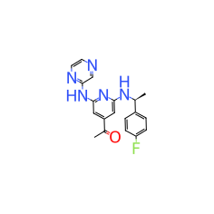 CC(=O)c1cc(Nc2cnccn2)nc(N[C@@H](C)c2ccc(F)cc2)c1